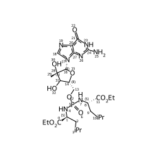 CCOC(=O)[C@H](CC(C)C)NP(=O)(N[C@@H](CC(C)C)C(=O)OCC)OC[C@H]1O[C@@H](n2cnc3c(=O)[nH]c(N)nc32)[C@@](C)(O)C1O